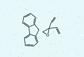 C=CC1(C=C)CO1.c1ccc2c(c1)Cc1ccccc1-2